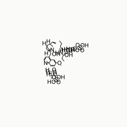 C=C[C@H]1C[N@]2CC[C@H]1C[C@H]2[C@H](O)c1ccnc2ccc(OC)cc12.CCCCNC(O)CC.O.O.O.O.O.O.O.O=S(=O)(O)O.O=S(=O)(O)O